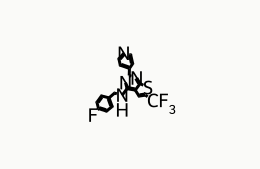 Fc1ccc(CNc2nc(-c3ccncc3)nc3sc(C(F)(F)F)cc23)cc1